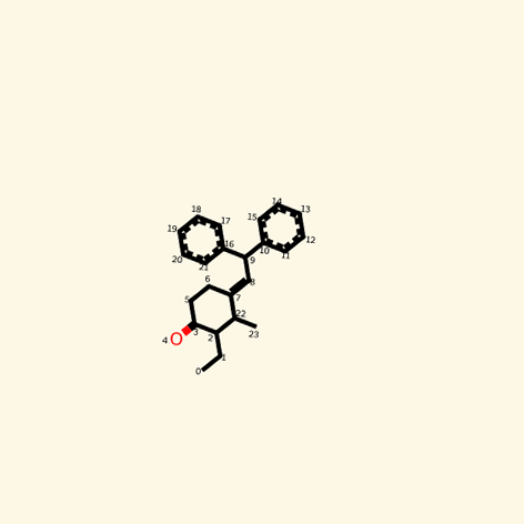 CCC1C(=O)CCC(=CC(c2ccccc2)c2ccccc2)C1C